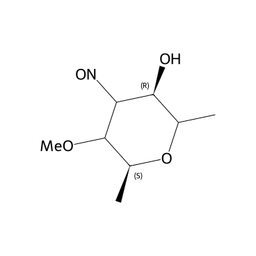 COC1C(N=O)[C@@H](O)C(C)O[C@H]1C